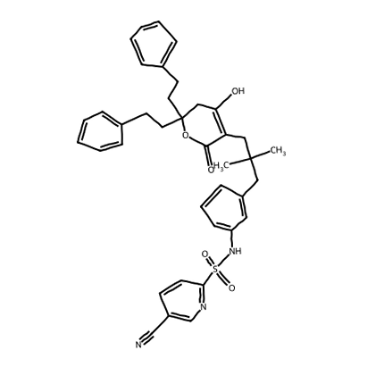 CC(C)(CC1=C(O)CC(CCc2ccccc2)(CCc2ccccc2)OC1=O)Cc1cccc(NS(=O)(=O)c2ccc(C#N)cn2)c1